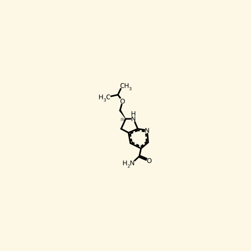 CC(C)OC[C@@H]1Cc2cc(C(N)=O)cnc2N1